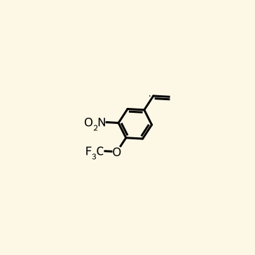 C=[C]c1ccc(OC(F)(F)F)c([N+](=O)[O-])c1